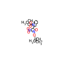 CC(C)(C)OC(=O)n1c(-c2cc([N+](=O)[O-])cn(COCC[Si](C)(C)C)c2=O)cc2ccccc21